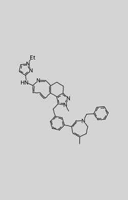 CCn1ccc(NC2=C/C=C/C3=C(/C=N\2)CCc2nn(C)c(Cc4cccc(C5=CN(Cc6ccccc6)CCC(C)=C5)c4)c23)n1